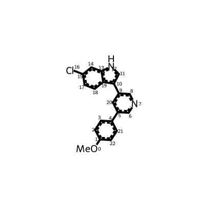 COc1ccc(-c2cncc(-c3c[nH]c4cc(Cl)ccc34)c2)cc1